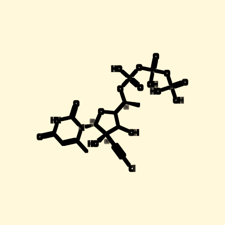 Cc1cc(=O)[nH]c(=O)n1[C@@H]1OC([C@H](C)OP(=O)(O)OP(=O)(O)OP(=O)(O)O)C(O)[C@]1(O)C#CCl